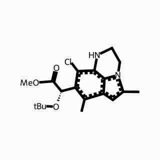 COC(=O)[C@@H](OC(C)(C)C)c1c(Cl)c2c3c(cc(C)n3CCN2)c1C